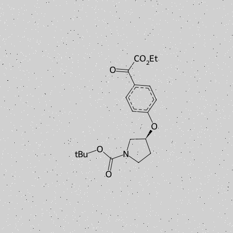 CCOC(=O)C(=O)c1ccc(O[C@H]2CCN(C(=O)OC(C)(C)C)C2)cc1